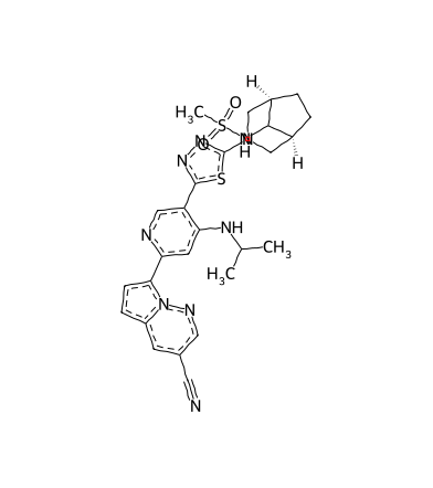 CC(C)Nc1cc(-c2ccc3cc(C#N)cnn23)ncc1-c1nnc(N2C[C@H]3CC[C@@H](C2)C3NS(C)(=O)=O)s1